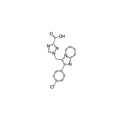 O=C(O)c1ncn(Cc2c(-c3ccc(Cl)cc3)nc3ccccn23)n1